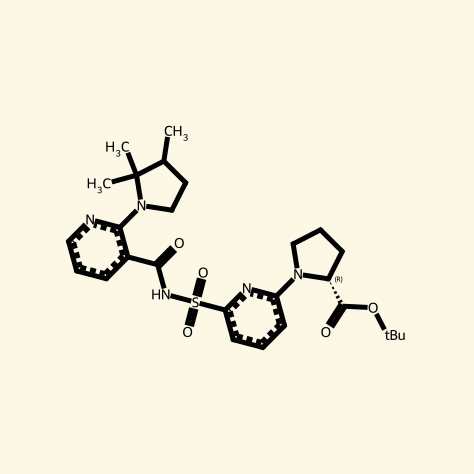 CC1CCN(c2ncccc2C(=O)NS(=O)(=O)c2cccc(N3CCC[C@@H]3C(=O)OC(C)(C)C)n2)C1(C)C